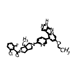 CCOc1cc(-c2ccc(N3CC4CN(C(=O)c5c(F)cccc5Cl)CC4(C)C3)nc2)c2c3cn[nH]c3nn2c1